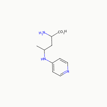 CC(CC(N)C(=O)O)Nc1ccncc1